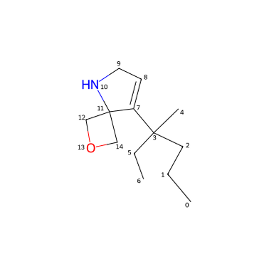 CCCC(C)(CC)C1=CCNC12COC2